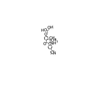 CC1(C)c2cc(OCC(O)CO)ccc2C(=O)c2c1[nH]c1cc(-c3cncs3)ccc21